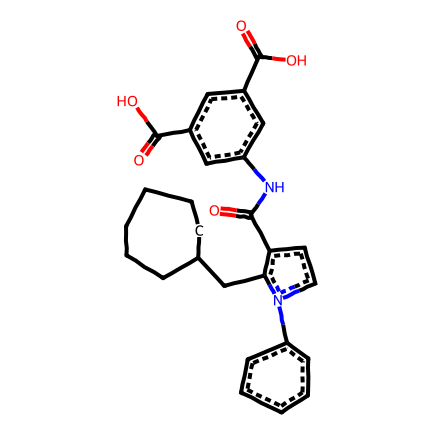 O=C(O)c1cc(NC(=O)c2ccn(-c3ccccc3)c2CC2CCCCCC2)cc(C(=O)O)c1